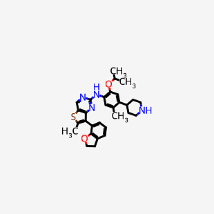 Cc1cc(Nc2ncc3sc(C)c(-c4cccc5c4OCC5)c3n2)c(OC(C)C)cc1C1CCNCC1